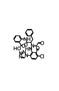 O=CC(=O)N(Nc1c(-n2cnnn2)ccc(Cl)c1F)C(Cc1ccccc1)C(=O)Nc1ccccc1C(=O)O